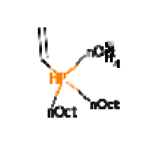 C=C[PH](CCCCCCCC)(CCCCCCCC)CCCCCCCC.[SiH4]